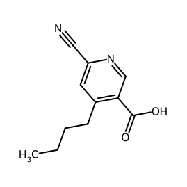 CCCCc1cc(C#N)ncc1C(=O)O